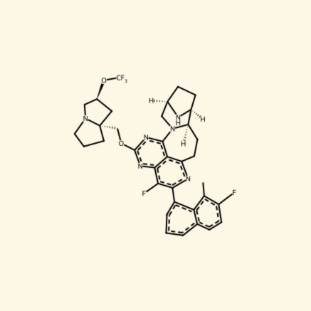 Cc1c(F)ccc2cccc(-c3nc4c5c(nc(OC[C@]67CCCN6C[C@@H](OC(F)(F)F)C7)nc5c3F)N3C[C@H]5CC[C@H](N5)[C@H]3CC4)c12